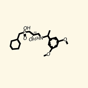 COc1cc(OC)cc(C(C)NC[C@H](O)CP(=O)(O)CC2CCCCC2)c1